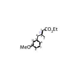 CCOC(=O)/C=C(\C)Cc1cccc(OC)c1